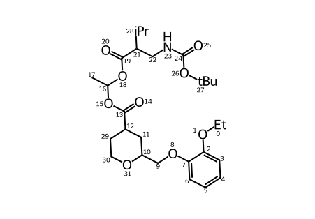 CCOc1ccccc1OCC1CC(C(=O)OC(C)OC(=O)C(CNC(=O)OC(C)(C)C)C(C)C)CCO1